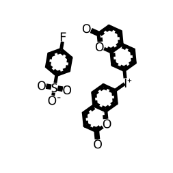 O=S(=O)([O-])c1ccc(F)cc1.O=c1ccc2ccc([I+]c3ccc4ccc(=O)oc4c3)cc2o1